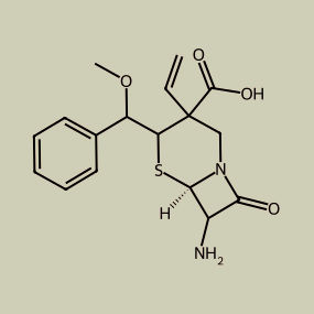 C=CC1(C(=O)O)CN2C(=O)C(N)[C@H]2SC1C(OC)c1ccccc1